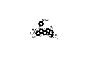 CC(=O)Nc1ccc(SC2C=C3[C@@](C)(CC[C@@]4(C)[C@@H]5C[C@](C)(C(N)=O)CC[C@]5(C)CC[C@]34C)c3cc(OC(C)=O)c(OC(C)=O)c(C)c32)cc1